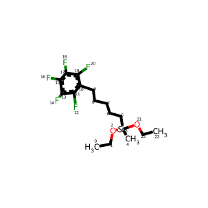 CCO[Si](C)(CCCCCc1c(F)c(F)c(F)c(F)c1F)OCC